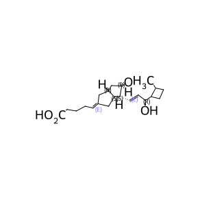 CC1CCC1[C@@H](O)/C=C/[C@@H]1[C@H]2C/C(=C/CCCC(=O)O)C[C@@H]2C[C@H]1O